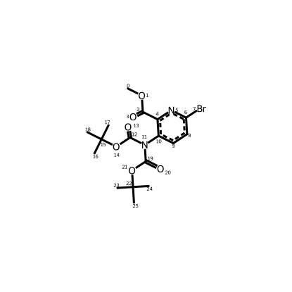 COC(=O)c1nc(Br)ccc1N(C(=O)OC(C)(C)C)C(=O)OC(C)(C)C